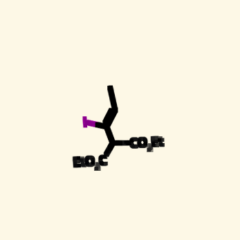 CC=C(I)C(C(=O)OCC)C(=O)OCC